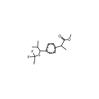 COC(=O)C(C)c1ccc(C(SC(F)(F)F)C(C)C)cc1